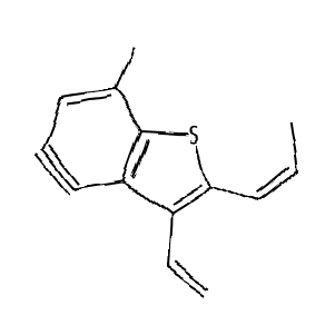 C=Cc1c(/C=C\C)sc2c(C)cc#cc12